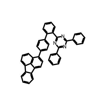 c1ccc(-c2nc(-c3ccccc3)nc(-c3ccccc3-c3ccc(-c4ccc5c6c(cccc46)-c4ccccc4-5)cc3)n2)cc1